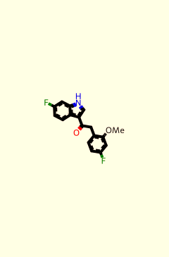 COc1cc(F)ccc1CC(=O)c1c[nH]c2cc(F)ccc12